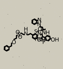 CC(C)(CCn1cnc2ccccc21)NC(C(O)c1ccc(O)cc1F)n1c(=O)sc2c(CCNCCS(=O)(=O)CCCOCCc3ccccc3)ccc(O)c21